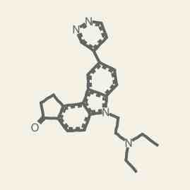 CCN(CC)CCn1c2ccc(-c3ccnnc3)cc2c2c3c(ccc21)C(=O)CC3